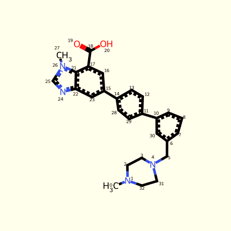 CN1CCN(Cc2cccc(-c3ccc(-c4cc(C(=O)O)c5c(c4)ncn5C)cc3)c2)CC1